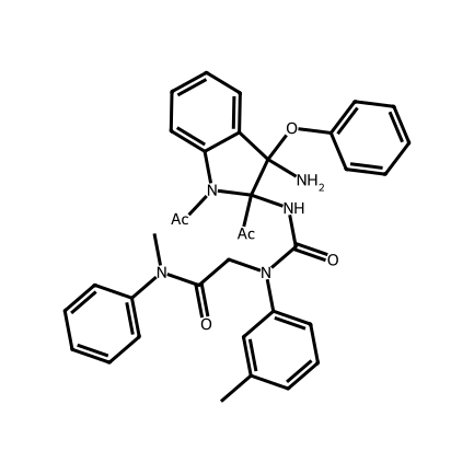 CC(=O)N1c2ccccc2C(N)(Oc2ccccc2)C1(NC(=O)N(CC(=O)N(C)c1ccccc1)c1cccc(C)c1)C(C)=O